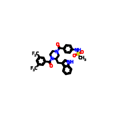 CS(=O)(=O)Nc1ccc(C(=O)N2CCN(C(=O)c3cc(C(F)(F)F)cc(C(F)(F)F)c3)C(Cc3c[nH]c4ccccc34)C2)cc1